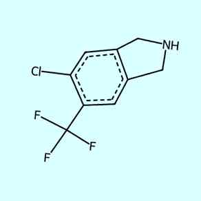 FC(F)(F)c1cc2c(cc1Cl)CNC2